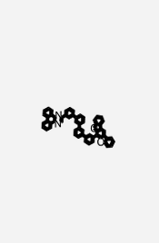 c1cc(-c2cccc(-c3cccc(-c4c5oc6ccccc6c5cc5c4oc4ccccc45)c3)c2)cc(-c2cccc(-c3cnc4c5ccccc5c5ccccc5c4n3)c2)c1